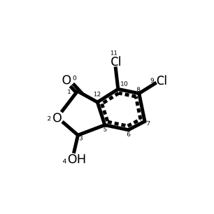 O=C1OC(O)c2ccc(Cl)c(Cl)c21